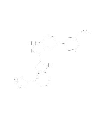 COc1cncc(-c2ccc3[nH]nc(-c4cc5c(-c6ccoc6)cccc5[nH]4)c3c2)c1